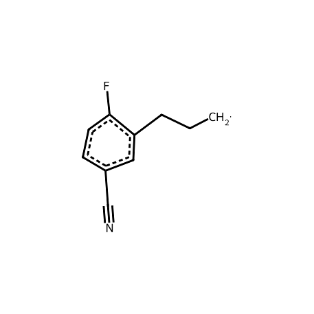 [CH2]CCc1cc(C#N)ccc1F